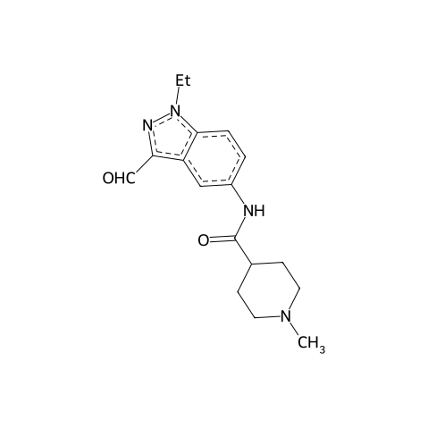 CCn1nc(C=O)c2cc(NC(=O)C3CCN(C)CC3)ccc21